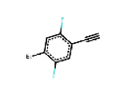 C#Cc1cc(F)c(CC)cc1F